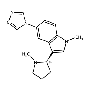 CN1CCC[C@@H]1c1cn(C)c2ccc(-n3cnnc3)cc12